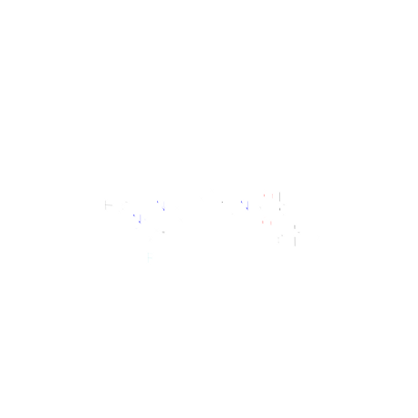 Cn1cc(F)c2ccc(CC3CC4(C3)CN(C(=O)OC(C)(C)C)C4)nc21